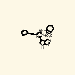 O=C(O)[C@@H]1CC2CCCC(C2)[C@H]1Nc1cc(C#Cc2ccccc2)nc(-c2c[nH]c3ncncc23)n1